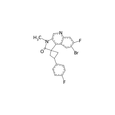 CN1C(=O)C2(CC(c3ccc(F)cc3)C2)c2c1cnc1cc(F)c(Br)cc21